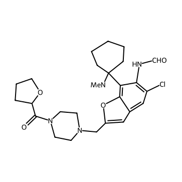 CNC1(c2c(NC=O)c(Cl)cc3cc(CN4CCN(C(=O)C5CCCO5)CC4)oc23)CCCCC1